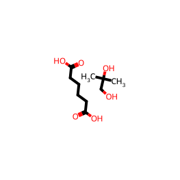 CC(C)(O)CO.O=C(O)CCCCC(=O)O